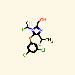 CC(C)c1nc(CO)n(C(C)F)c1Sc1cc(Cl)cc(Cl)c1